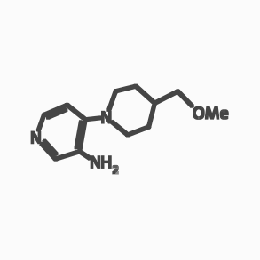 COCC1CCN(c2ccncc2N)CC1